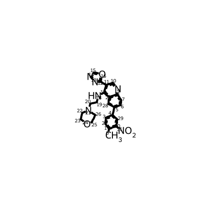 Cc1ccc(-c2ccc3ncc(-c4nnco4)c(NCCN4CCOCC4)c3c2)cc1[N+](=O)[O-]